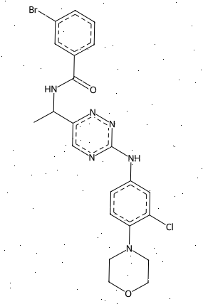 CC(NC(=O)c1cccc(Br)c1)c1cnc(Nc2ccc(N3CCOCC3)c(Cl)c2)nn1